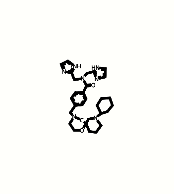 O=C(c1ccc(CN2CCOC3(CCCN(C4CCCCC4)C3)C2)cc1)N(Cc1ncc[nH]1)Cc1ncc[nH]1